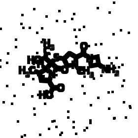 CC1C=C(C(=O)O)N2C(=O)C(SC3CC(C(=O)N4CC(N)C4)N(C)C3)(C(C)O)[C@H]12